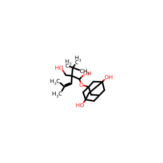 CC(C)=CC(CO)(C(O)OC12CC3CC(O)(CC(O)(C3)C1)C2)C(C)(C)C